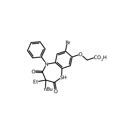 CCCCC1(CC)C(=O)[SH]c2cc(OCC(=O)O)c(Br)cc2N(c2ccccc2)C1=O